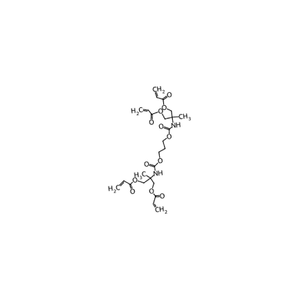 C=CC(=O)OCC(C)(COC(=O)C=C)NC(=O)OCCCOC(=O)NC(C)(COC(=O)C=C)COC(=O)C=C